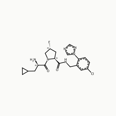 N[C@H](CC1CC1)C(=O)N1C[C@H](F)C[C@H]1C(=O)NCc1cc(Cl)ccc1-n1cncn1